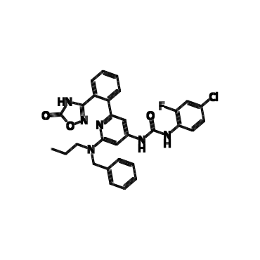 CCCN(Cc1ccccc1)c1cc(NC(=O)Nc2ccc(Cl)cc2F)cc(-c2ccccc2-c2noc(=O)[nH]2)n1